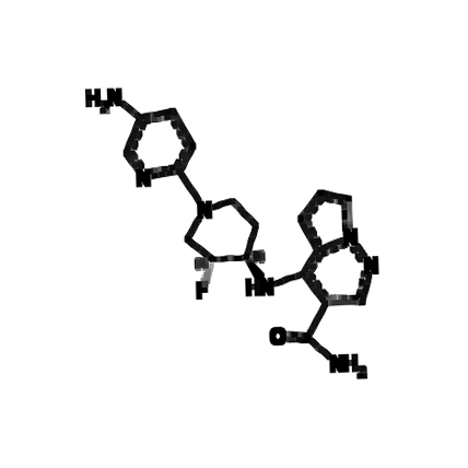 NC(=O)c1cnn2cccc2c1N[C@@H]1CCN(c2ccc(N)cn2)C[C@H]1F